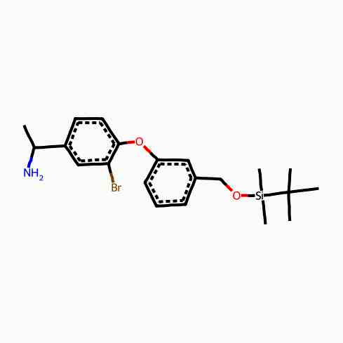 CC(N)c1ccc(Oc2cccc(CO[Si](C)(C)C(C)(C)C)c2)c(Br)c1